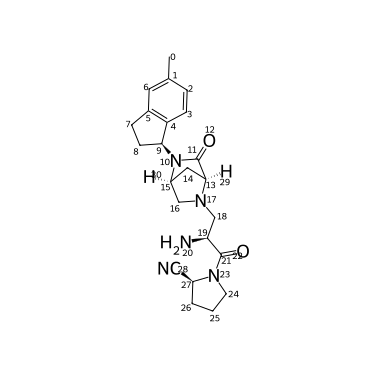 Cc1ccc2c(c1)CC[C@@H]2N1C(=O)[C@@H]2C[C@H]1CN2C[C@H](N)C(=O)N1CCC[C@H]1C#N